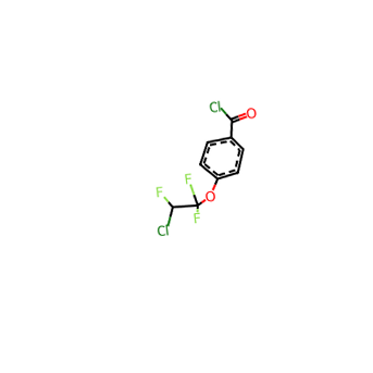 O=C(Cl)c1ccc(OC(F)(F)C(F)Cl)cc1